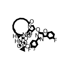 CC1(S(=O)(=O)NC(=O)[C@@]23C[C@H]2/C=C\CCCCCCC(=O)N2C[C@H](Oc4nc(-c5ccc(F)cc5)nc5c4oc4ccc(F)cc45)C[C@H]2C(=O)N3)CC1